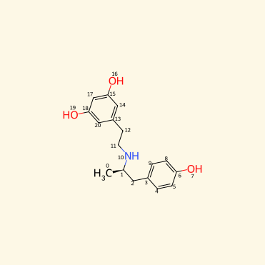 C[C@H](Cc1ccc(O)cc1)NCCc1cc(O)cc(O)c1